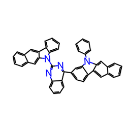 c1ccc(-n2c3cc(-c4nc(-n5c6ccccc6c6cc7ccccc7cc65)nc5ccccc45)ccc3c3cc4ccccc4cc32)cc1